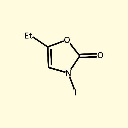 CCc1cn(I)c(=O)o1